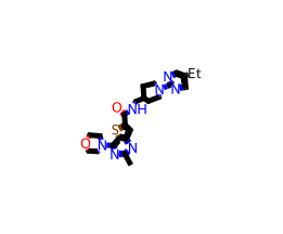 CCc1cnc(N2CCC(CNC(=O)c3cc4nc(C)nc(N5CCOCC5)c4s3)CC2)nc1